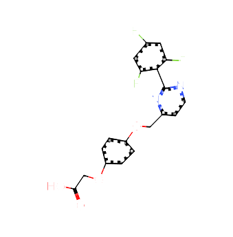 O=C(O)COc1ccc(OCc2ccnc(-c3c(F)cc(F)cc3F)n2)cc1